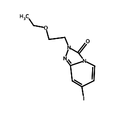 CCOCCn1nc2cc(I)ccn2c1=O